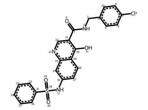 O=C(NCc1ccc(Cl)cc1)c1cnc2cc(NS(=O)(=O)c3ccccc3)ccc2c1O